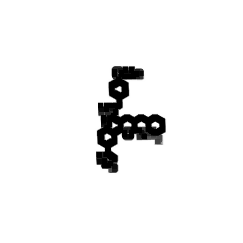 COc1ccc(CNc2nc3ccc(-c4cscn4)cc3cc2CC(CC2CCCCC2)C(N)=O)cc1